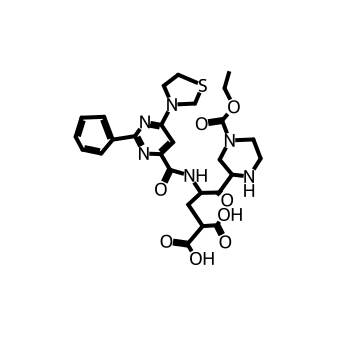 CCOC(=O)N1CCNC(C(=O)C(CC(C(=O)O)C(=O)O)NC(=O)c2cc(N3CCSC3)nc(-c3ccccc3)n2)C1